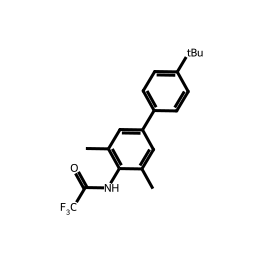 Cc1cc(-c2ccc(C(C)(C)C)cc2)cc(C)c1NC(=O)C(F)(F)F